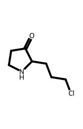 O=C1CCNC1CCCCl